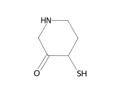 O=C1CNCCC1S